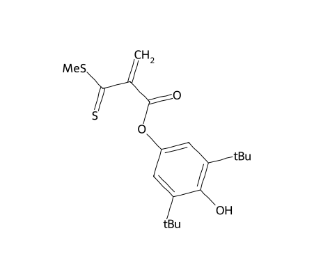 C=C(C(=O)Oc1cc(C(C)(C)C)c(O)c(C(C)(C)C)c1)C(=S)SC